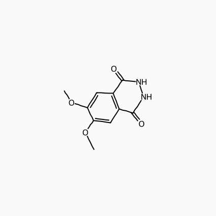 COc1cc2c(=O)[nH][nH]c(=O)c2cc1OC